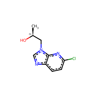 C[C@H](O)Cn1cnc2ccc(Cl)nc21